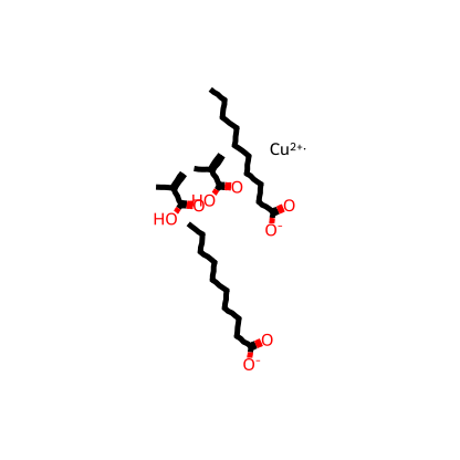 C=C(C)C(=O)O.C=C(C)C(=O)O.CCCCCCCCCC(=O)[O-].CCCCCCCCCC(=O)[O-].[Cu+2]